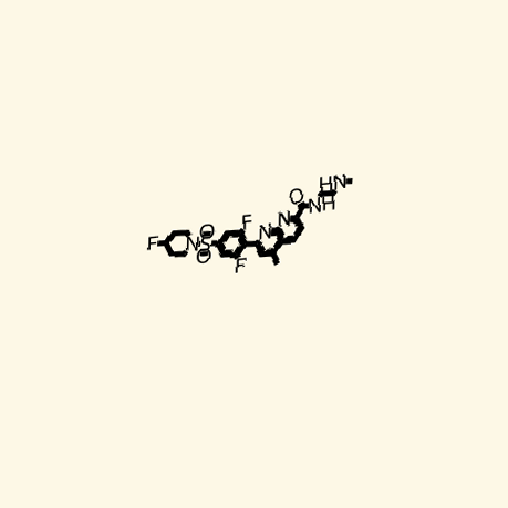 CNCCNC(=O)c1ccc2c(C)cc(-c3c(F)cc(S(=O)(=O)N4CCC(F)CC4)cc3F)nc2n1